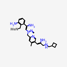 C=NN(/C=C(\N)c1cccc(N)c1CNC)Cc1cc(C)c(/C=C(\N)CNCC2CCC2)cn1